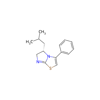 CC(C)C[C@H]1CN=C2SC=C(c3ccccc3)N21